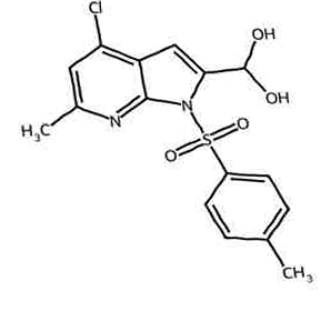 Cc1ccc(S(=O)(=O)n2c(C(O)O)cc3c(Cl)cc(C)nc32)cc1